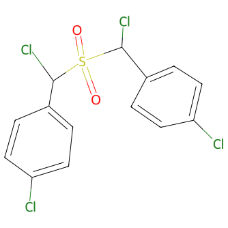 O=S(=O)(C(Cl)c1ccc(Cl)cc1)C(Cl)c1ccc(Cl)cc1